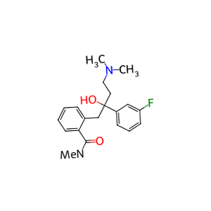 CNC(=O)c1ccccc1CC(O)(CCN(C)C)c1cccc(F)c1